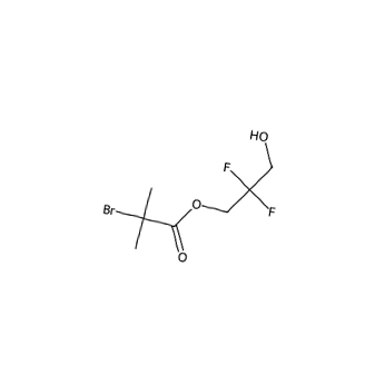 CC(C)(Br)C(=O)OCC(F)(F)CO